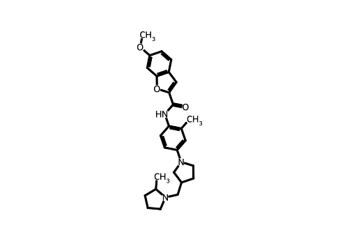 COc1ccc2cc(C(=O)Nc3ccc(N4CCC(CN5CCCC5C)C4)cc3C)oc2c1